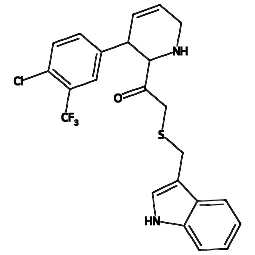 O=C(CSCc1c[nH]c2ccccc12)C1NCC=CC1c1ccc(Cl)c(C(F)(F)F)c1